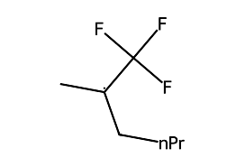 CCCC[C](C)C(F)(F)F